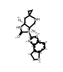 O=C1N[C@H]2CC3(CC3)NC[C@H]2N1c1nc2c3c(ccc2s1)OCC3